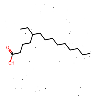 CCCCCCCCCC(CC)CCCC(=O)O